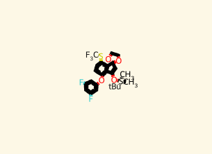 CC(C)(C)[Si](C)(C)OC1=CC2(OCCO2)c2c(SC(F)(F)F)ccc(Oc3cc(F)cc(F)c3)c21